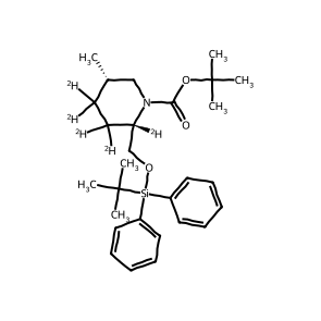 [2H]C1([2H])[C@H](C)CN(C(=O)OC(C)(C)C)[C@]([2H])(CO[Si](c2ccccc2)(c2ccccc2)C(C)(C)C)C1([2H])[2H]